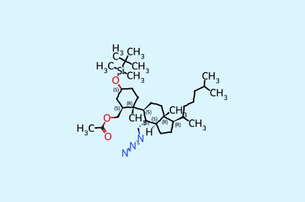 CC(=O)OC[C@H]1C[C@@H](O[Si](C)(C)C(C)(C)C)CC[C@]1(C)[C@H]1CC[C@]2(C)[C@@H](C(C)CCCC(C)C)CC[C@H]2[C@@H]1CN=[N+]=[N-]